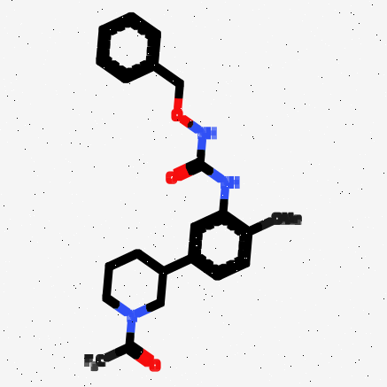 COc1ccc(C2CCCN(C(=O)C(F)(F)F)C2)cc1NC(=O)NOCc1ccccc1